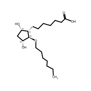 CCCCCCCO[C@@H]1[C@@H](CCCCCCC(=O)O)[C@@H](O)C[C@H]1O